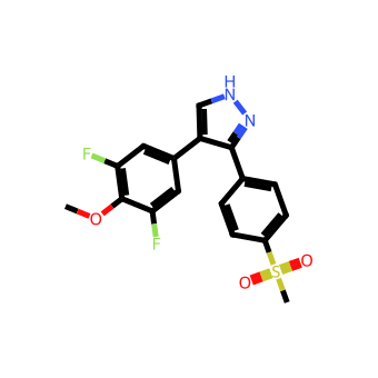 COc1c(F)cc(-c2c[nH]nc2-c2ccc(S(C)(=O)=O)cc2)cc1F